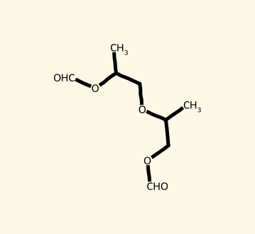 CC(COC(C)COC=O)OC=O